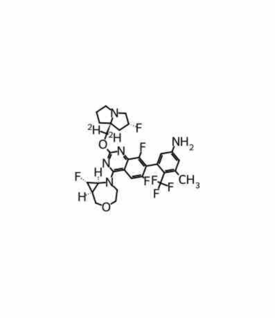 [2H]C([2H])(Oc1nc(N2CCOC[C@H]3[C@H](F)[C@H]32)c2cc(F)c(-c3cc(N)cc(C)c3C(F)(F)F)c(F)c2n1)[C@@]12CCCN1C[C@H](F)C2